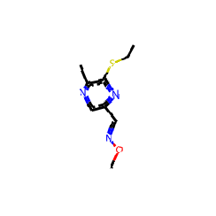 CCSc1nc(/C=N/OC)cnc1C